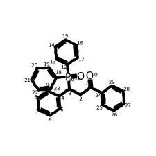 O=C(CC(c1ccccc1)P(=O)(c1ccccc1)c1ccccc1)c1ccccc1